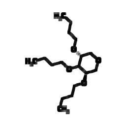 CCCCOC1[C@H](OCCCC)COC[C@H]1OCCCC